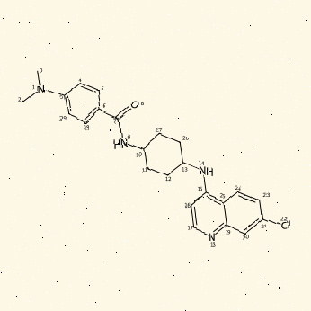 CN(C)c1ccc(C(=O)NC2CCC(Nc3ccnc4cc(Cl)ccc34)CC2)cc1